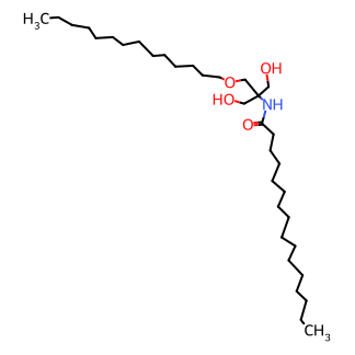 CCCCCCCCCCCCCCCC(=O)NC(CO)(CO)COCCCCCCCCCCCCCC